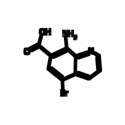 Nc1c(C(=O)O)cc(Br)c2cccnc12